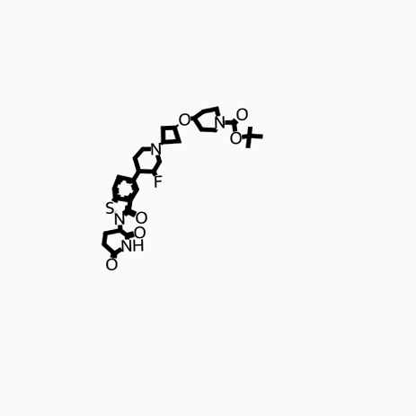 CC(C)(C)OC(=O)N1CCC(O[C@H]2C[C@H](N3CCC(c4ccc5sn(C6CCC(=O)NC6=O)c(=O)c5c4)C(F)C3)C2)CC1